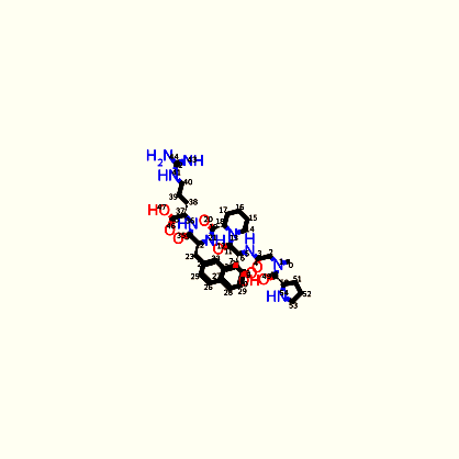 CN(CC(=O)N[C@H](CC(=O)O)C(=O)N1CCCC[C@H]1C(=O)N[C@@H](Cc1ccc2ccccc2c1)C(=O)N[C@@H](CCCNC(=N)N)C(=O)O)C(=O)[C@@H]1CCCN1